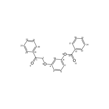 O=C(COc1cccc(OC(=O)c2ccccc2)c1)c1ccccc1